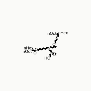 C=C(CCN(CCCCCCOC(=O)C(CCCCCC)CCCCCCCC)CCN(CC)CCO)OCCCSCC(CCCCCC)CCCCCCCC